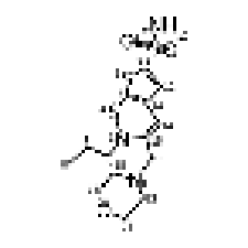 CCCN1Sc2sc(S(N)(=O)=O)cc2C=C1CN1CCOCC1